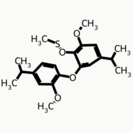 COc1cc(C(C)C)ccc1Oc1cc(C(C)C)cc(OC)c1OSC